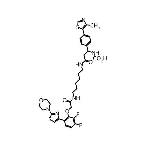 Cc1ncsc1-c1ccc(C(CC(=O)NCCCCCCNC(=O)COc2c(-c3csc(N4CCOCC4)n3)ccc(F)c2F)NC(=O)O)cc1